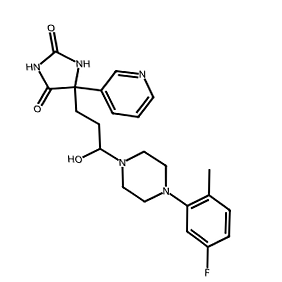 Cc1ccc(F)cc1N1CCN(C(O)CCC2(c3cccnc3)NC(=O)NC2=O)CC1